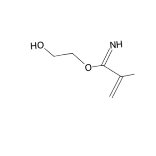 C=C(C)C(=N)OCCO